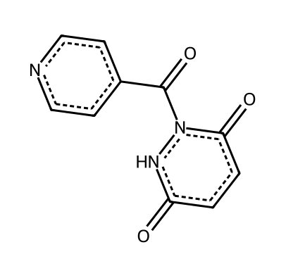 O=C(c1ccncc1)n1[nH]c(=O)ccc1=O